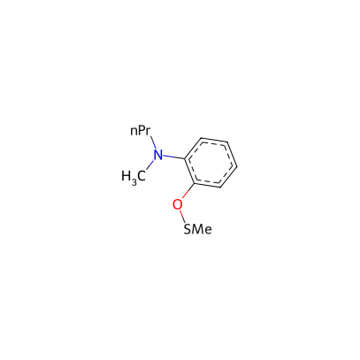 CCCN(C)c1ccccc1OSC